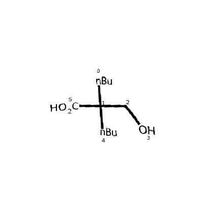 CCCCC(CO)(CCCC)C(=O)O